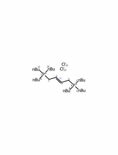 CCCC[P+](C/C=C/C[P+](CCCC)(CCCC)CCCC)(CCCC)CCCC.[Cl-].[Cl-]